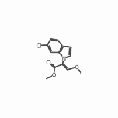 CO/C=C(/C(=O)OC)n1ccc2ccc(Cl)cc21